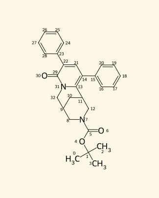 CC(C)(C)OC(=O)N1CC2CC(C1)c1c(-c3ccccc3)cc(-c3ccccc3)c(=O)n1C2